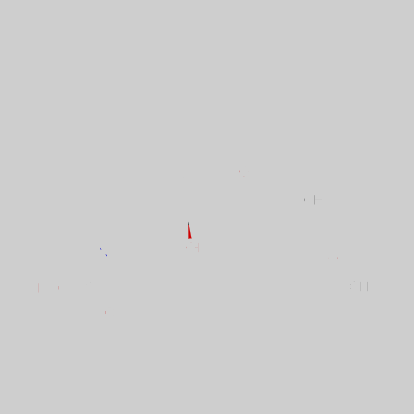 COCCCC[C@@](O)(c1ccccc1Oc1ccccc1C)C1CCCN(C(=O)O)C1